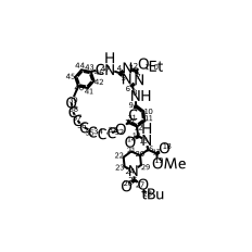 CCOc1nc2nc(n1)Nc1ccc(C(=O)NC(C(=O)OC)C3CCCN(C(=O)OC(C)(C)C)C3)c(c1)OCCCCCCOc1ccc(cc1)CN2